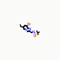 CCc1cc(Br)c2nc(/C=N/[S@+]([O-])C(C)(C)C)cn2c1